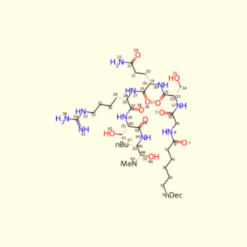 CCCCCCCCCCCCCCCC(=O)NCC(=O)N[C@@H](CO)C(=O)N[C@@H](CCC(N)=O)C(=O)N[C@@H](CCCCNC(=N)N)C(=O)N[C@@H](CO)C(=O)N[C@@H](CCCC)[C@H](O)NC